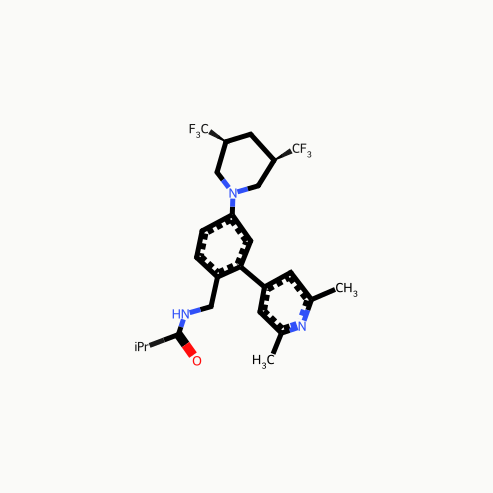 Cc1cc(-c2cc(N3C[C@H](C(F)(F)F)C[C@H](C(F)(F)F)C3)ccc2CNC(=O)C(C)C)cc(C)n1